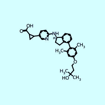 Cc1cc(OCCC(C)(C)O)cc(C)c1-c1cccc2c1CC[C@H]2Nc1ccc(C2CC2C(=O)O)cn1